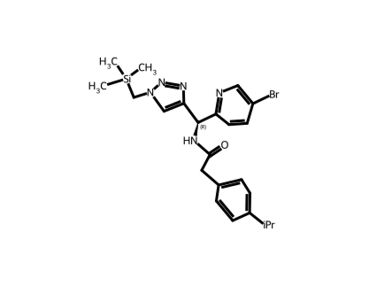 CC(C)c1ccc(CC(=O)N[C@H](c2ccc(Br)cn2)c2cn(C[Si](C)(C)C)nn2)cc1